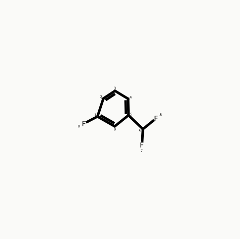 Fc1[c]ccc(C(F)F)c1